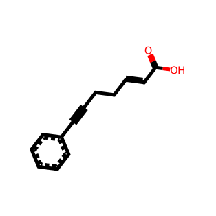 O=C(O)/C=C/CCC#Cc1ccccc1